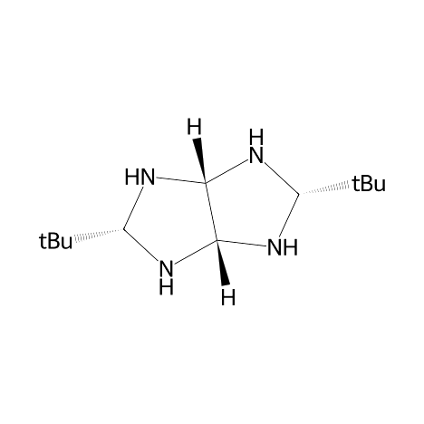 CC(C)(C)[C@H]1N[C@H]2N[C@@H](C(C)(C)C)N[C@H]2N1